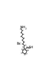 NCCCCCCCCCCC[N+]1(CCS)CCCCC1.[Br-]